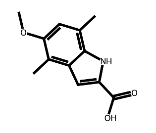 COc1cc(C)c2[nH]c(C(=O)O)cc2c1C